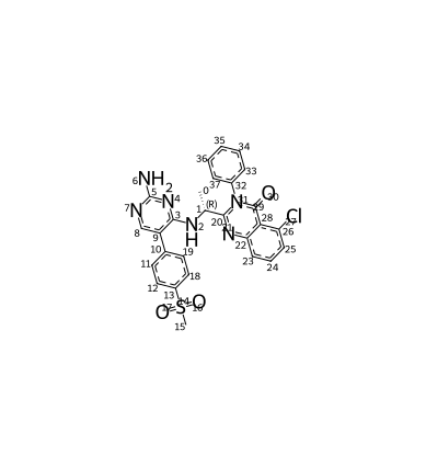 C[C@@H](Nc1nc(N)ncc1-c1ccc(S(C)(=O)=O)cc1)c1nc2cccc(Cl)c2c(=O)n1-c1ccccc1